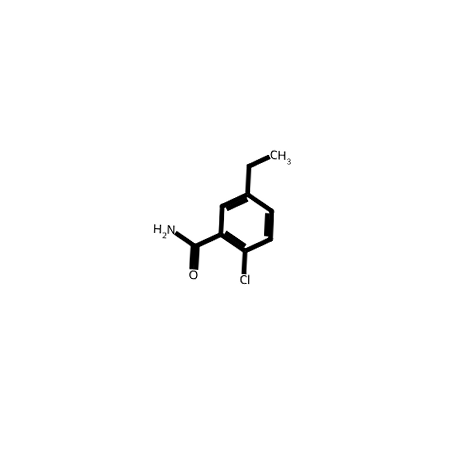 CCc1ccc(Cl)c(C(N)=O)c1